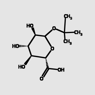 CC(C)(C)OC1O[C@H](C(=O)O)[C@@H](O)[C@H](O)[C@H]1O